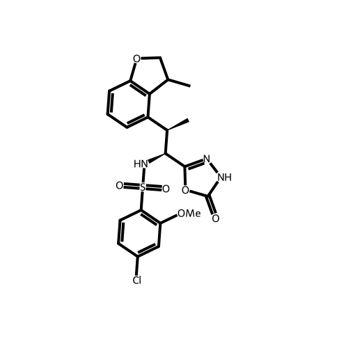 COc1cc(Cl)ccc1S(=O)(=O)N[C@H](c1n[nH]c(=O)o1)[C@H](C)c1cccc2c1C(C)CO2